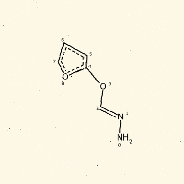 NN=COc1ccco1